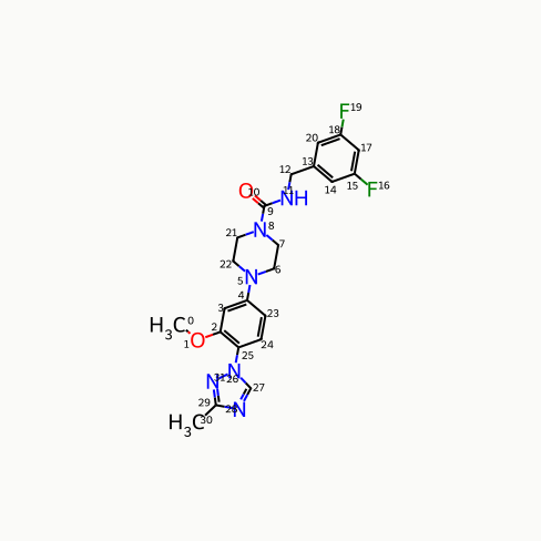 COc1cc(N2CCN(C(=O)NCc3cc(F)cc(F)c3)CC2)ccc1-n1cnc(C)n1